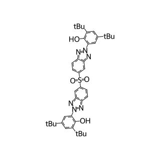 CC(C)(C)c1cc(-n2nc3ccc(S(=O)(=O)c4ccc5nn(-c6cc(C(C)(C)C)cc(C(C)(C)C)c6O)nc5c4)cc3n2)c(O)c(C(C)(C)C)c1